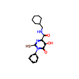 O=C(NCC1CCCCC1)c1nc(S)n(-c2ccccc2)c(=O)c1O